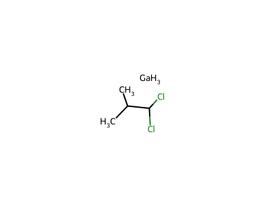 CC(C)C(Cl)Cl.[GaH3]